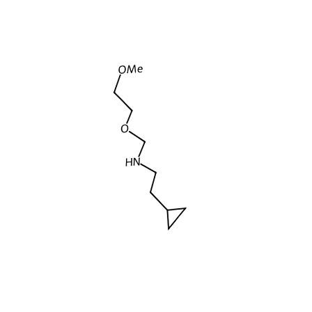 COCCOCNCCC1CC1